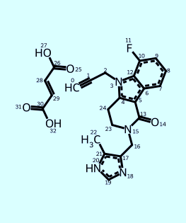 C#CCn1c2c(c3cccc(F)c31)C(=O)N(Cc1nc[nH]c1C)CC2.O=C(O)C=CC(=O)O